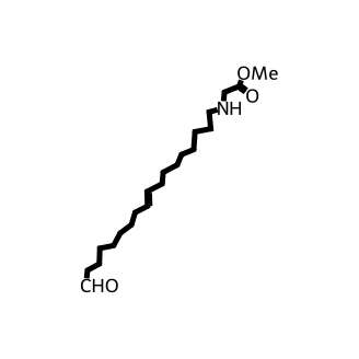 COC(=O)CNCCCCCCCCC=CCCCCCCCC=O